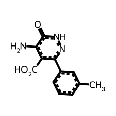 Cc1cccc(-c2n[nH]c(=O)c(N)c2C(=O)O)c1